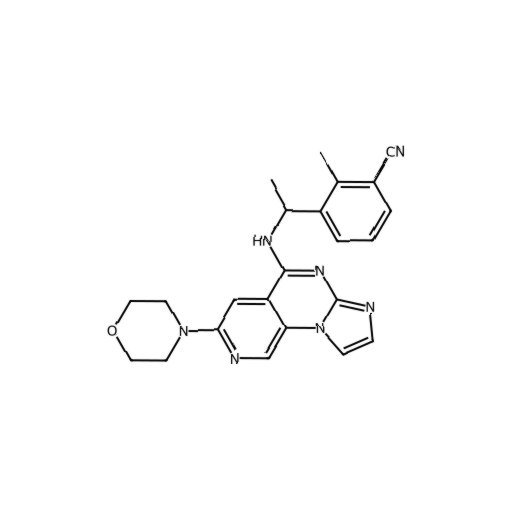 Cc1c(C#N)cccc1C(C)Nc1nc2nccn2c2cnc(N3CCOCC3)cc12